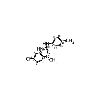 COc1ccc(Cl)cc1NC(=O)Nc1ccc(C)cc1